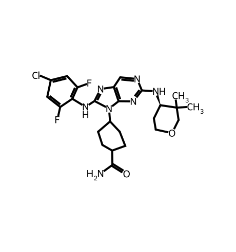 CC1(C)COCC[C@H]1Nc1ncc2nc(Nc3c(F)cc(Cl)cc3F)n(C3CCC(C(N)=O)CC3)c2n1